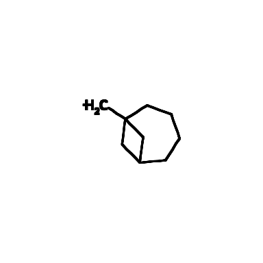 [CH2]C12CCCCC(C1)C2